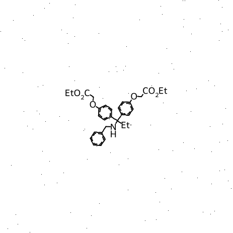 C[CH]C(NCc1ccccc1)(c1ccc(OCC(=O)OCC)cc1)c1ccc(OCC(=O)OCC)cc1